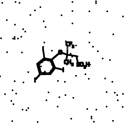 CC(CS(=O)(=O)O)(Oc1c(I)cc(I)cc1I)C(F)(F)F